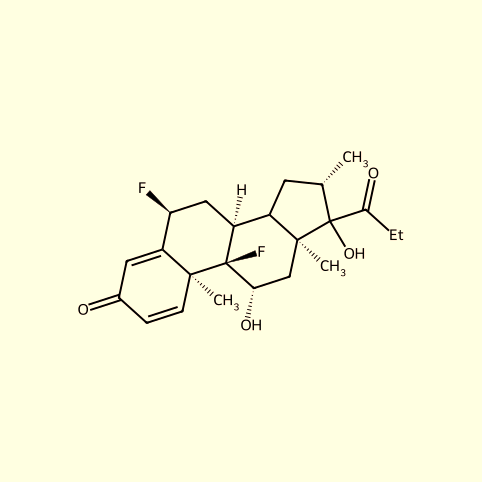 CCC(=O)C1(O)[C@@H](C)CC2[C@@H]3C[C@H](F)C4=CC(=O)C=C[C@]4(C)[C@@]3(F)[C@@H](O)C[C@@]21C